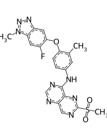 Cc1cc(Nc2ncnc3cnc(S(C)(=O)=O)nc23)ccc1Oc1cc2nnn(C)c2cc1F